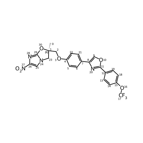 C[C@]1(COc2ccc(-c3coc(-c4ccc(OC(F)(F)F)cc4)n3)cc2)Cn2cc([N+](=O)[O-])nc2O1